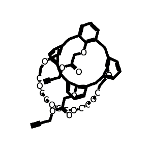 C#CCOC(=O)COc1c2cccc1Cc1cccc3c1OCCOCCOCCOCCOCCOc1c(cccc1Cc1cccc(c1OCC(=O)OCC#C)C3)C2